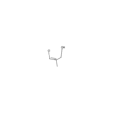 CC(=CCl)CO